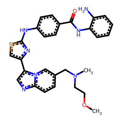 COCCN(C)Cc1ccc2ncc(-c3csc(Nc4ccc(C(=O)Nc5ccccc5N)cc4)n3)n2c1